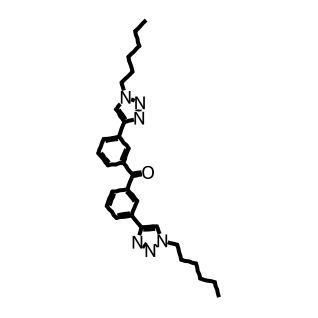 CCCCCCn1cc(-c2cccc(C(=O)c3cccc(-c4cn(CCCCCC)nn4)c3)c2)nn1